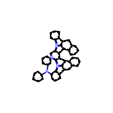 c1ccc(N(c2ccccc2)c2cccc3c4cc5ccccc5c5c6c7c8c9ccccc9cc9c%10ccccc%10n(c7cnc6n(c23)c45)c98)cc1